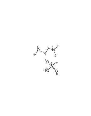 COCCN(C)C.CS(=O)(=O)O